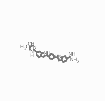 CC1(C)CN=C(c2ccc3cc(-c4ccc(-c5cc6ccc(C(=N)N)cc6[nH]5)cc4)[nH]c3c2)NC1